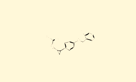 NC(=O)OC1CC1c1ccc(OCc2ccccc2F)cc1